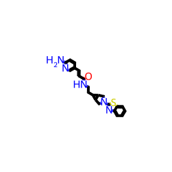 Nc1ccc(/C=C/C(=O)NCCC2C3CN(c4nc5ccccc5s4)CC23)cn1